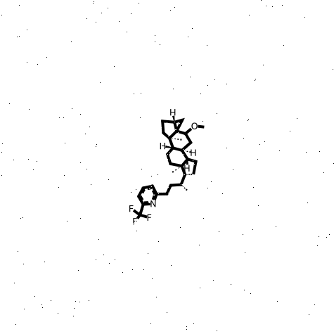 COC1C[C@H]2[C@@H]3CC[C@H]([C@H](C)CCc4cccc(C(F)(F)F)n4)[C@@]3(C)CC[C@@H]2[C@@]2(C)CC[C@@H]3CC132